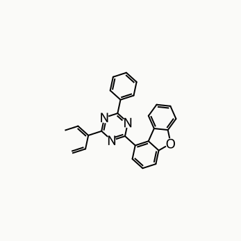 C=C/C(=C\C)c1nc(-c2ccccc2)nc(-c2cccc3oc4ccccc4c23)n1